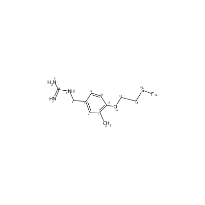 Cc1cc(CNC(=N)N)ccc1OCCSF